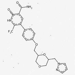 NC(=O)c1cc(-c2ccc(OCC3COCC(Cn4cccn4)O3)cc2)c(C(F)(F)F)[nH]c1=O